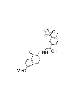 COc1ccc2c(c1)CCC(CNCC(O)c1ccc(C)c(S(N)(=O)=O)c1)C2=O